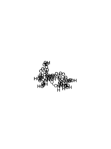 CN1C(=O)C(C(=O)c2cccc(SOOO)c2)C2c3c1ccc(Nc1cc(Nc4nc(N)nc(NC5CCC(CC6CCC(Nc7nc(N)nc(Nc8cc(Nc9ccc%10c%11c9C(=O)C9C=CC=CC9C%11C(C(=O)c9cccc(S(=O)(=O)O)c9)C(=O)N%10C)c(S(=O)(=O)O)cc8SOOO)n7)CC6)CC5)n4)c(S(=O)(=O)O)cc1SOOO)c3C(=O)C1C=CC=CC12